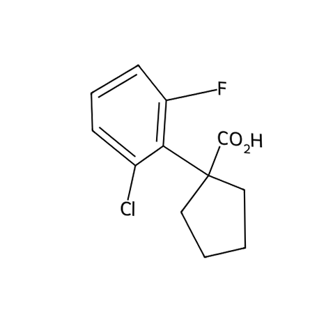 O=C(O)C1(c2c(F)cccc2Cl)CCCC1